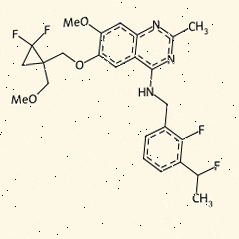 COCC1(COc2cc3c(NCc4cccc(C(C)F)c4F)nc(C)nc3cc2OC)CC1(F)F